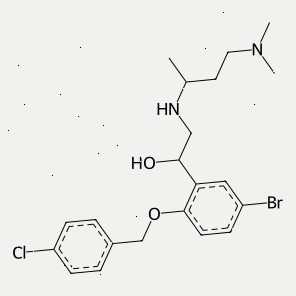 CC(CCN(C)C)NCC(O)c1cc(Br)ccc1OCc1ccc(Cl)cc1